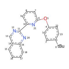 CC(C)(C)c1ccc(Oc2cccc(-c3ncc4ccccc4n3)n2)cc1